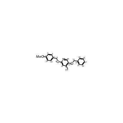 COc1ccc(COc2cc(I)c(OCc3ccccc3)cn2)cc1